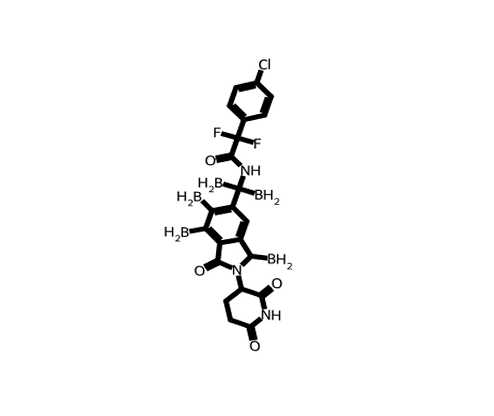 Bc1c(C(B)(B)NC(=O)C(F)(F)c2ccc(Cl)cc2)cc2c(c1B)C(=O)N(C1CCC(=O)NC1=O)C2B